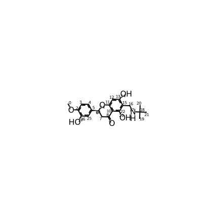 COc1ccc([C@@H]2CC(=O)c3c(cc(O)c(CNC(C)(C)C)c3O)O2)cc1O